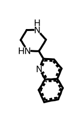 c1ccc2nc(C3CNCCN3)ccc2c1